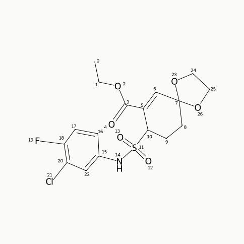 CCOC(=O)C1=CC2(CCC1S(=O)(=O)Nc1ccc(F)c(Cl)c1)OCCO2